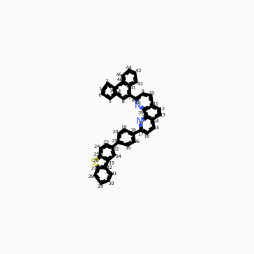 c1ccc2c(c1)cc(-c1ccc3ccc4ccc(-c5ccc(-c6ccc7sc8ccccc8c7c6)cc5)nc4c3n1)c1ccccc12